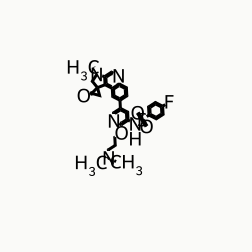 CN(C)CCCOc1ncc(-c2ccc3ncc4c(c3c2)C2(CC2=O)CN4C)cc1NS(=O)(=O)c1ccc(F)cc1